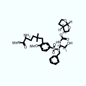 CNC(=O)C(N)CCC(C)(C)Cc1cc(S(=O)(=O)N(Cc2ccccc2)[C@H](NC(=O)O[C@H]2CO[C@H]3OCC[C@H]32)[C@@H](C)O)ccc1OC